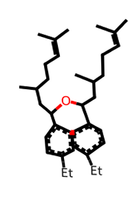 CCc1ccc(C(CC(C)CCC=C(C)C)OC(CC(C)CCC=C(C)C)c2ccc(CC)cc2)cc1